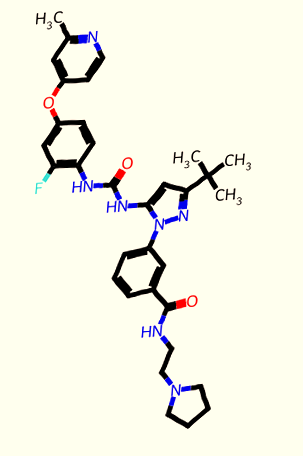 Cc1cc(Oc2ccc(NC(=O)Nc3cc(C(C)(C)C)nn3-c3cccc(C(=O)NCCN4CCCC4)c3)c(F)c2)ccn1